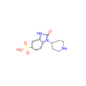 O=c1[nH]c2cc(S(=O)(=O)O)ccc2n1C1CCNCC1